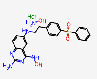 Cl.NO.Nc1nc(NO)c2cc(NCCc3ccc(S(=O)(=O)c4ccccc4)cc3)ccc2n1